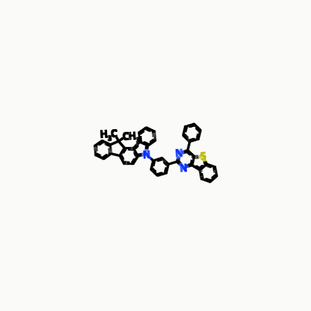 CC1(C)c2ccccc2-c2ccc3c(c21)c1ccccc1n3-c1cccc(-c2nc(-c3ccccc3)c3sc4ccccc4c3n2)c1